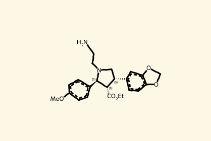 CCOC(=O)[C@H]1[C@@H](c2ccc3c(c2)OCO3)CN(CCN)[C@@H]1c1ccc(OC)cc1